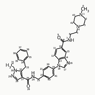 CN1CCN(CCNC(=O)c2ccc3c(c2)ncn3-c2ccc(CNC(=O)c3cnn(C)c3Cc3ccccc3)cc2)CC1